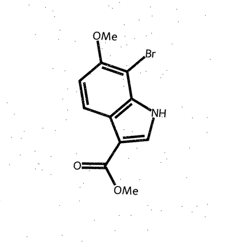 COC(=O)c1c[nH]c2c(Br)c(OC)ccc12